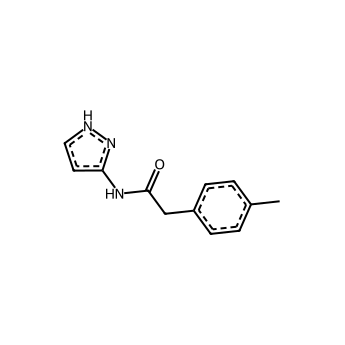 Cc1ccc(CC(=O)Nc2cc[nH]n2)cc1